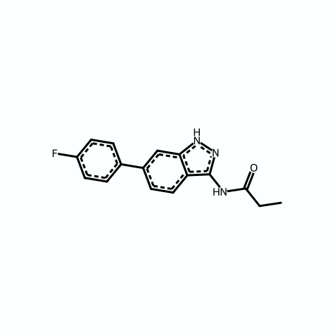 CCC(=O)Nc1n[nH]c2cc(-c3ccc(F)cc3)ccc12